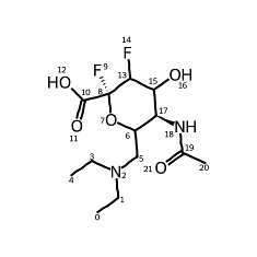 CCN(CC)CC1O[C@@](F)(C(=O)O)C(F)C(O)[C@H]1NC(C)=O